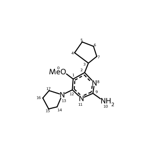 COc1c(C2CCCC2)nc(N)nc1N1CCCC1